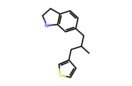 CC(Cc1ccsc1)Cc1ccc2c(c1)[N]CC2